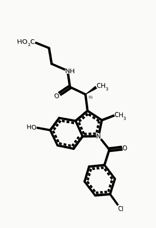 Cc1c([C@H](C)C(=O)NCCC(=O)O)c2cc(O)ccc2n1C(=O)c1cccc(Cl)c1